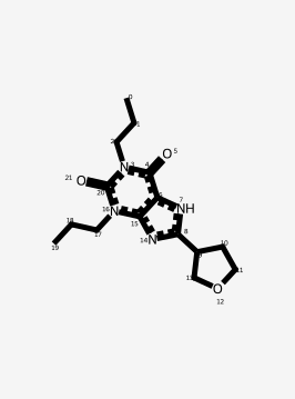 CCCn1c(=O)c2[nH]c(C3CCOC3)nc2n(CCC)c1=O